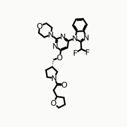 O=C(CC1CCCO1)N1CC[C@H](COc2cc(-n3c(C(F)F)nc4ccccc43)nc(N3CCOCC3)n2)C1